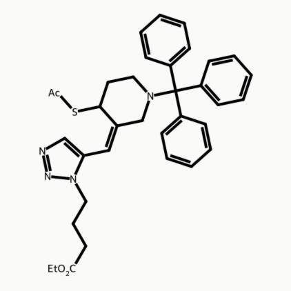 CCOC(=O)CCCn1nncc1/C=C1/CN(C(c2ccccc2)(c2ccccc2)c2ccccc2)CCC1SC(C)=O